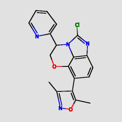 Cc1noc(C)c1-c1ccc2nc(Cl)n3c2c1OCC3c1ccccn1